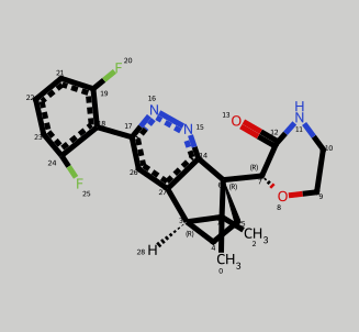 CC1(C)[C@H]2CC[C@]1([C@H]1OCCNC1=O)c1nnc(-c3c(F)cccc3F)cc12